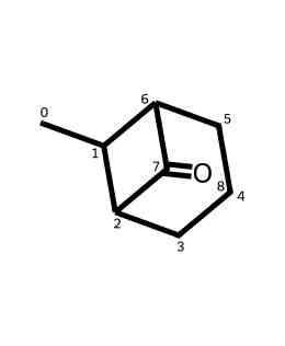 CC1C2CCCC1C2=O